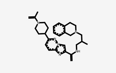 C=C(NCC(C)CN1CCc2ccccc2C1)c1cn2nc(C3CCN(C(=C)C)CC3)ccc2n1